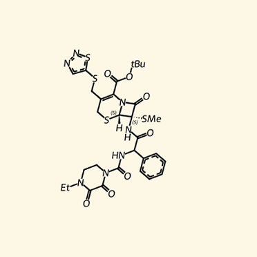 CCN1CCN(C(=O)NC(C(=O)N[C@]2(SC)C(=O)N3C(C(=O)OC(C)(C)C)=C(CSc4cnns4)CS[C@H]32)c2ccccc2)C(=O)C1=O